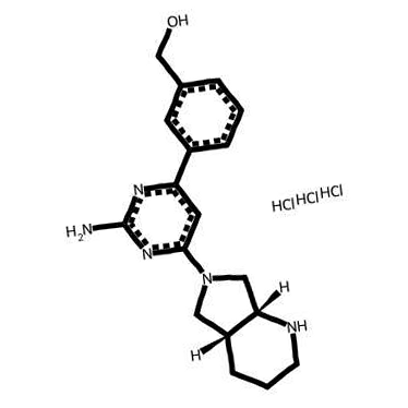 Cl.Cl.Cl.Nc1nc(-c2cccc(CO)c2)cc(N2C[C@H]3CCCN[C@H]3C2)n1